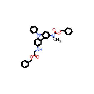 CN(C(=O)OCc1ccccc1)c1ccc2c(c1)c1cc(NCC(=O)OCc3ccccc3)ccc1n2-c1ccccc1